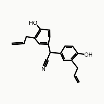 C=CCc1cc(C(C#N)c2ccc(O)c(CC=C)c2)ccc1O